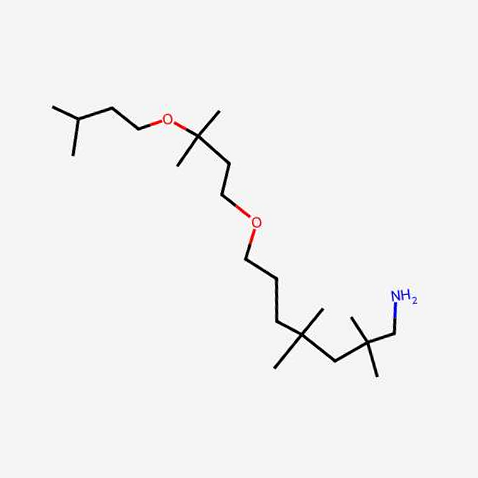 CC(C)CCOC(C)(C)CCOCCCC(C)(C)CC(C)(C)CN